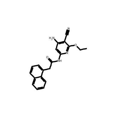 CCOc1nc(NC(=O)Cc2cccc3ccccc23)cc(N)c1C#N